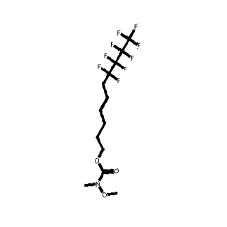 CON(C)C(=O)OCCCCCCC(F)(F)C(F)(F)C(F)(F)C(F)(F)F